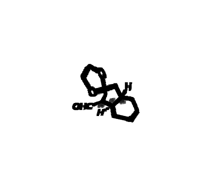 O=C[C@@H]1[C@@H]2CCCC[C@H]2CC12OCCO2